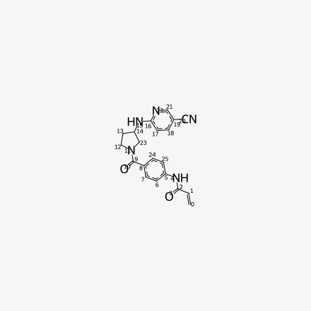 C=CC(=O)Nc1ccc(C(=O)N2CCC(Nc3ccc(C#N)cn3)C2)cc1